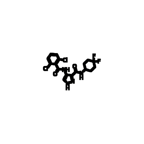 O=C(NC1CCC(F)(F)CC1)c1n[nH]cc1NC(=O)c1c(Cl)cccc1Cl